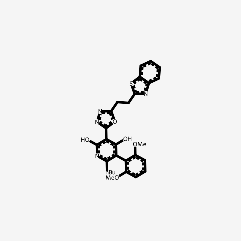 CCCCc1nc(O)c(-c2nnc(CCc3nc4ccccc4s3)o2)c(O)c1-c1c(OC)cccc1OC